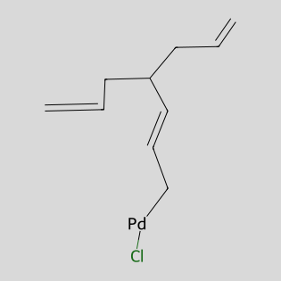 C=CCC(C=C[CH2][Pd][Cl])CC=C